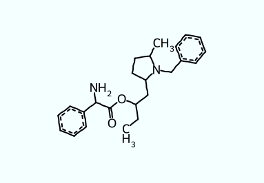 CCC(CC1CCC(C)N1Cc1ccccc1)OC(=O)C(N)c1ccccc1